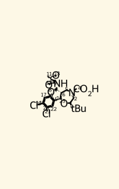 CC(C)(C)C1CN(C(=O)O)C[C@@H](C(=O)NS(C)(=O)=O)[C@H](c2ccc(Cl)c(Cl)c2)O1